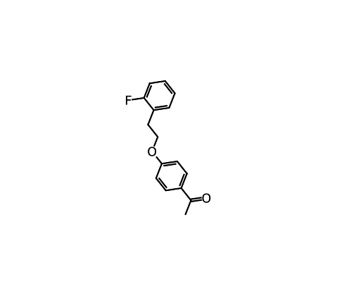 CC(=O)c1ccc(OCCc2ccccc2F)cc1